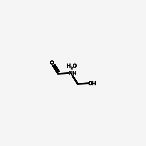 O.O=CNCO